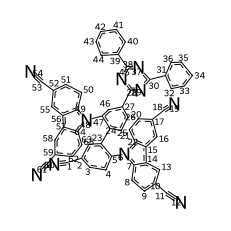 N#Cc1ccc(-n2c3ccc(C#N)cc3c3cc(C#N)ccc32)c(-c2ccc(-c3nc(-c4ccccc4)nc(-c4ccccc4)n3)cc2-n2c3ccc(C#N)cc3c3cc(C#N)ccc32)c1